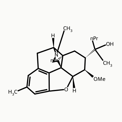 CCCC(C)(O)[C@H]1C[C@]2(CCC)[C@H]3Cc4cc(C)cc5c4[C@@]2(CCN3C)[C@@H](O5)[C@@H]1OC